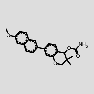 COc1ccc2cc(-c3ccc4c(c3)OCC(C)(C)C4OC(N)=O)ccc2c1